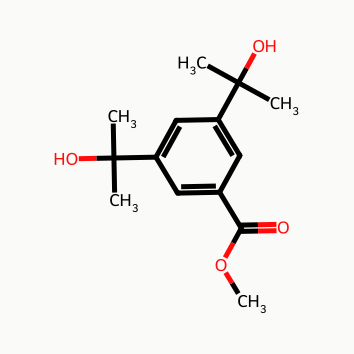 COC(=O)c1cc(C(C)(C)O)cc(C(C)(C)O)c1